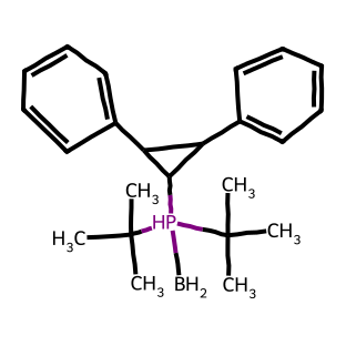 B[PH](C1C(c2ccccc2)C1c1ccccc1)(C(C)(C)C)C(C)(C)C